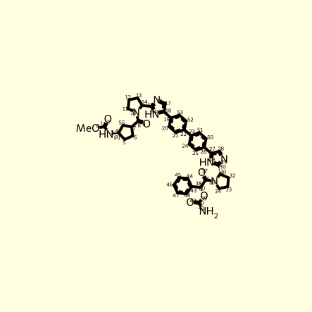 COC(=O)N[C@@H]1CCC(C(=O)N2CCCC2c2ncc(-c3ccc(-c4ccc(-c5cnc([C@@H]6CCCN6C(=O)[C@H](OC(N)=O)c6ccccc6)[nH]5)cc4)cc3)[nH]2)C1